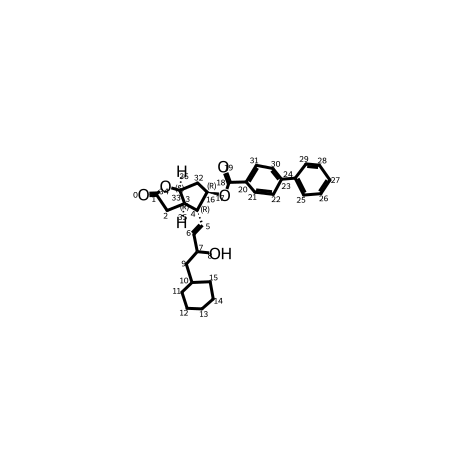 O=C1C[C@@H]2[C@@H](C=CC(O)CC3CCCCC3)[C@H](OC(=O)c3ccc(-c4ccccc4)cc3)C[C@@H]2O1